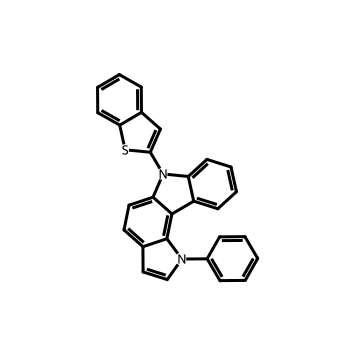 c1ccc(-n2ccc3ccc4c(c5ccccc5n4-c4cc5ccccc5s4)c32)cc1